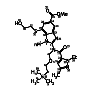 CCCn1c(N(COCC[Si](C)(C)C)C(=O)c2cc(C)nn2CC)nc2cc(C(=O)OC)cc(SCCO)c21